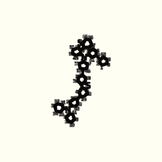 c1ccc(-c2cccc(N(c3ccc(-c4ccc5c(c4)sc4ccc(-c6ccc(N(c7ccccc7)c7ccccc7)cc6)cc45)cc3)c3cccc4sc5ccccc5c34)c2)cc1